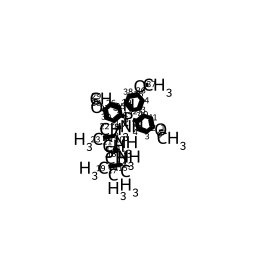 COc1ccc([PH](NC[C@@H](NC(=S)N[C@@H](C)C(C)(C)C)C(C)(C)C)(c2ccc(OC)cc2)c2ccc(OC)cc2)cc1